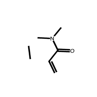 C=CC(=O)N(C)C.CC